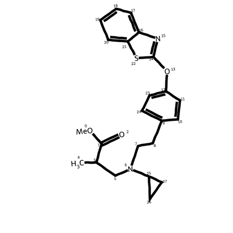 COC(=O)C(C)CN(CCc1ccc(Oc2nc3ccccc3s2)cc1)C1CC1